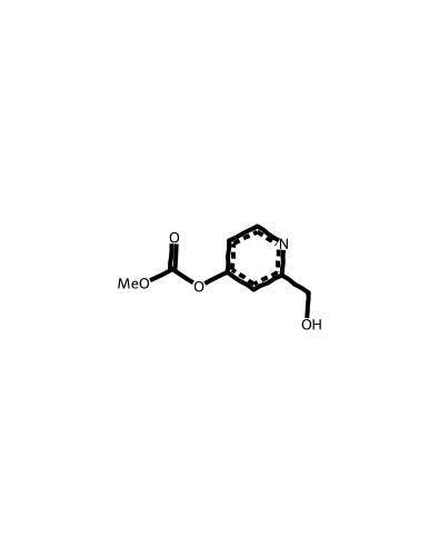 COC(=O)Oc1ccnc(CO)c1